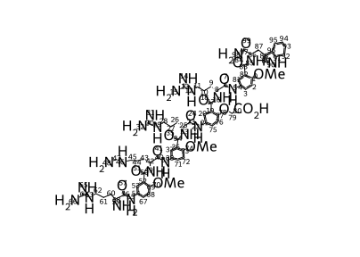 COc1ccc(NC(=O)[C@@H](CCCNC(=N)N)NC(=O)c2cc(NC(=O)[C@@H](CCCNC(=N)N)NC(=O)c3cc(NC(=O)[C@@H](CCCNCN)NC(=O)c4cc(NC(=O)[C@H](N)CCCNC(=N)N)ccc4OC)ccc3OC)ccc2OCC(=O)O)cc1C(=O)N[C@H](Cc1c[nH]c2ccccc12)C(N)=O